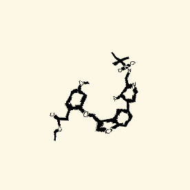 CCOC(=O)Cc1ccc(OC)cc1OCc1coc2ccc(-c3ccnc(C=NS(=O)(=O)C(C)(C)C)c3F)cc12